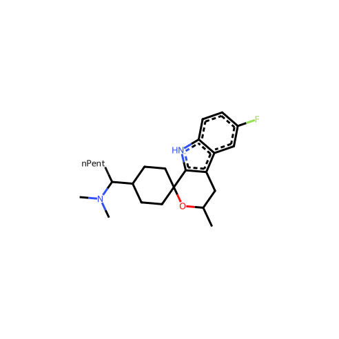 CCCCCC(C1CCC2(CC1)OC(C)Cc1c2[nH]c2ccc(F)cc12)N(C)C